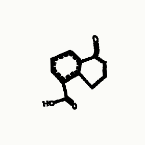 O=C(O)c1cccc2c1CCCC2=O